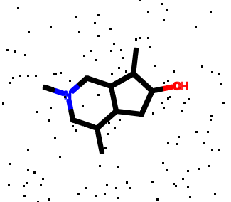 CC1CN(C)CC2C(C)C(O)CC12